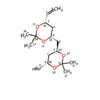 C=C[C@@H]1C[C@H](C[C@@H]2C[C@@H](CCCC)OC(C)(C)O2)OC(C)(C)O1